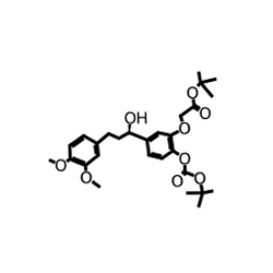 COc1ccc(CC[C@@H](O)c2ccc(OC(=O)OC(C)(C)C)c(OCC(=O)OC(C)(C)C)c2)cc1OC